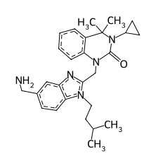 CC(C)CCn1c(CN2C(=O)N(C3CC3)C(C)(C)c3ccccc32)nc2cc(CN)ccc21